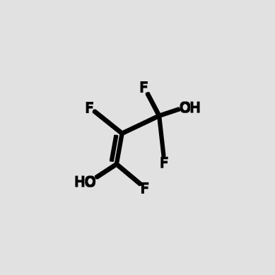 OC(F)=C(F)C(O)(F)F